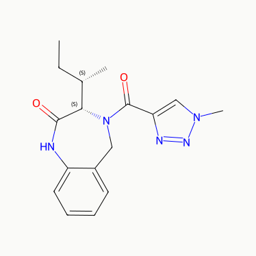 CC[C@H](C)[C@H]1C(=O)Nc2ccccc2CN1C(=O)c1cn(C)nn1